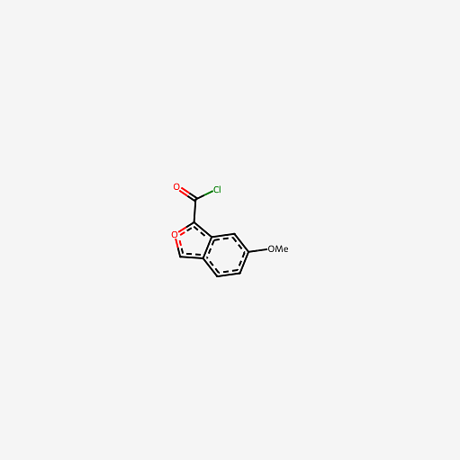 COc1ccc2coc(C(=O)Cl)c2c1